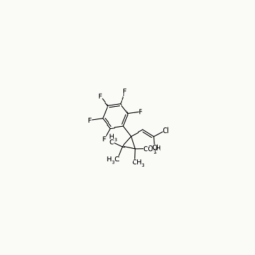 CC1(C)C(C)(C(=O)O)C1(C=C(Cl)Cl)c1c(F)c(F)c(F)c(F)c1F